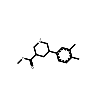 COC(=O)C1CNCC(c2ccc(C)c(C)c2)C1